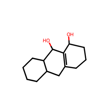 OC1CCCC2=C1C(O)C1CCCCC1C2